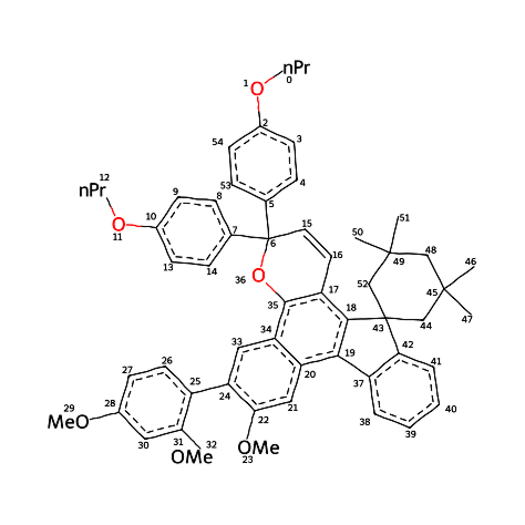 CCCOc1ccc(C2(c3ccc(OCCC)cc3)C=Cc3c4c(c5cc(OC)c(-c6ccc(OC)cc6OC)cc5c3O2)-c2ccccc2C42CC(C)(C)CC(C)(C)C2)cc1